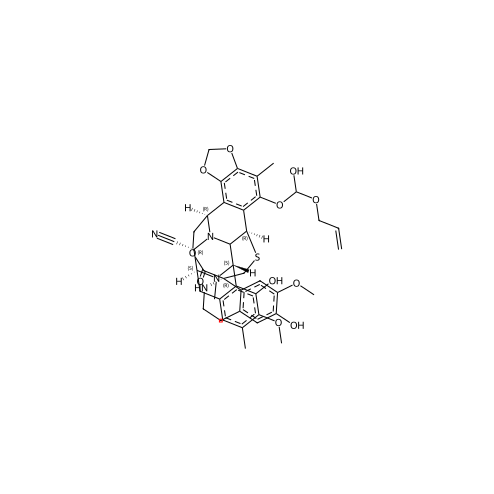 C=CCOC(O)Oc1c(C)c2c(c3c1[C@H]1SC[C@]4(NCCc5cc(O)c(OC)cc54)C(=O)OC[C@@H]3N3C1[C@@H]1c4c(cc(C)c(OC)c4O)C[C@@H]([C@@H]3C#N)N1C)OCO2